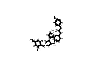 OC(Cc1ccc(F)cc1)CC1CCN(C[C@H]2CN(Cc3ccc(Cl)cc3Cl)C[C@@H]2c2ccsc2)CC1